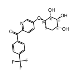 O=C(c1ccc(C(F)(F)F)cc1)c1ccc(O[C@@H]2SC[C@@H](O)[C@H](O)[C@H]2O)cn1